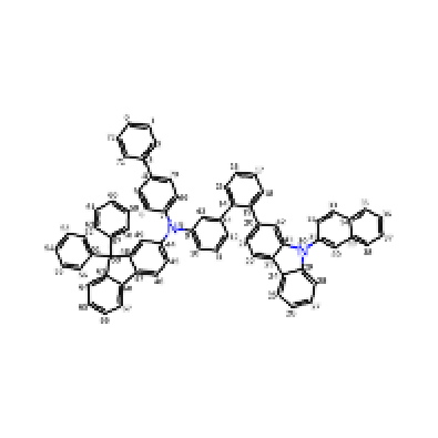 c1ccc(-c2ccc(N(c3cccc(-c4ccccc4-c4ccc5c6ccccc6n(-c6ccc7ccccc7c6)c5c4)c3)c3ccc4c(c3)C(c3ccccc3)(c3ccccc3)c3ccccc3-4)cc2)cc1